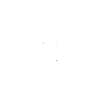 NC1=C2OCCN2NC1